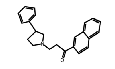 O=C(CCN1CCC(c2ccccc2)C1)c1ccc2ccccc2c1